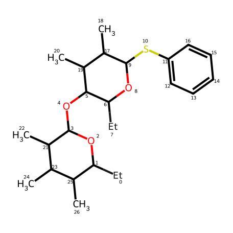 CCC1OC(OC2C(CC)OC(Sc3ccccc3)C(C)C2C)C(C)C(C)C1C